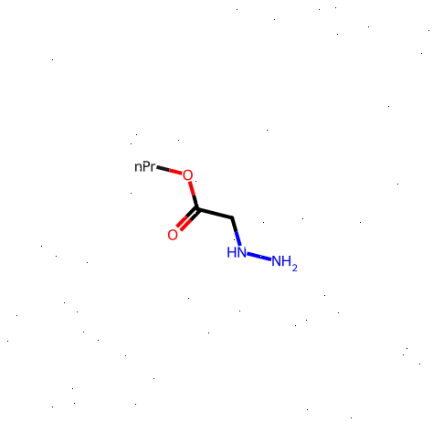 CCCOC(=O)CNN